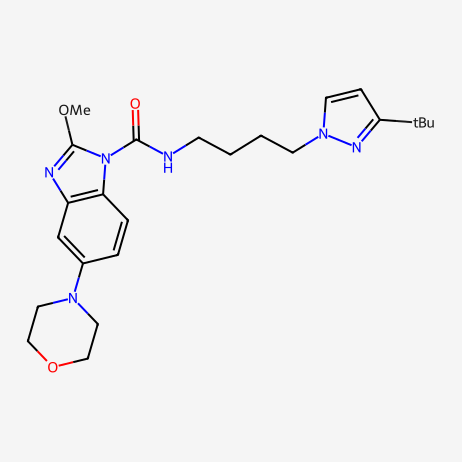 COc1nc2cc(N3CCOCC3)ccc2n1C(=O)NCCCCn1ccc(C(C)(C)C)n1